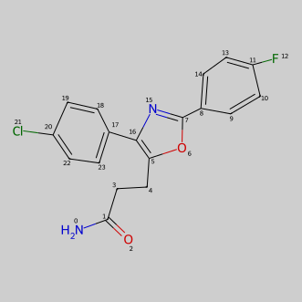 NC(=O)CCc1oc(-c2ccc(F)cc2)nc1-c1ccc(Cl)cc1